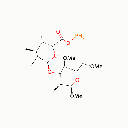 COCC1O[C@@H](OC)[C@@H](C)C(O[C@@H]2OC(C(=O)OP)[C@@H](C)[C@H](C)C2C)[C@H]1OC